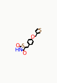 O=C1NC(=O)C(=Cc2ccc(OCc3ccsc3)cc2)S1